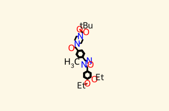 CCOc1ccc(-c2nc(-c3ccc(C(=O)N4CCN(C(=O)OC(C)(C)C)CC4)cc3C)no2)cc1OCC